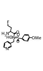 COc1ccc(S(=O)(=O)[N@@+](O)(Cc2cccnc2)C(=O)C(N)CCF)cc1